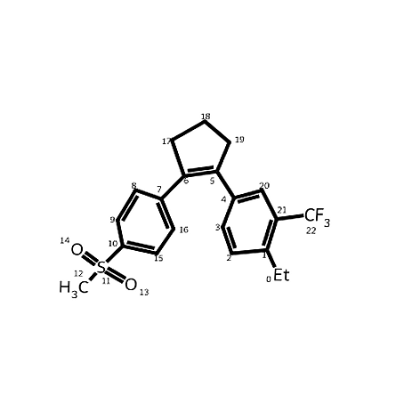 CCc1ccc(C2=C(c3ccc(S(C)(=O)=O)cc3)CCC2)cc1C(F)(F)F